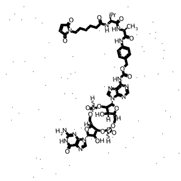 CC(C)[C@H](NC(=O)CCCCCN1C(=O)C=CC1=O)C(=O)N[C@@H](C)C(=O)Nc1ccc(COC(=O)Nc2ncnc3c2ncn3[C@@H]2O[C@@H]3COP(=O)(S)OC4C(O)[C@H](n5cnc6c(=O)[nH]c(N)nc65)O[C@@H]4COP(=O)(S)OC2[C@H]3O)cc1